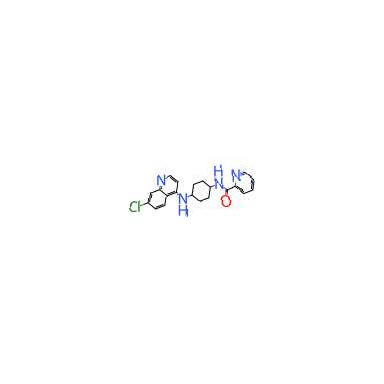 O=C(NC1CCC(Nc2ccnc3cc(Cl)ccc23)CC1)c1ccccn1